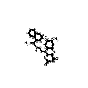 Cc1cc2nc3c(=O)[nH]c(=O)nc-3n(CCNC(C)c3cccc4ccccc34)c2cc1C